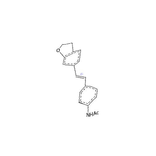 CC(=O)Nc1ccc(/C=C/c2ccc3c(c2)OCC3)cc1